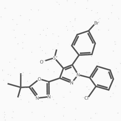 C[S+]([O-])c1c(-c2nnc(C(C)(C)C)o2)nn(-c2ccccc2Cl)c1-c1ccc(Br)cc1